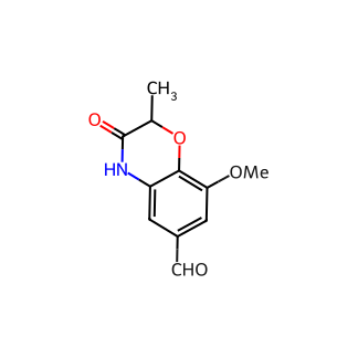 COc1cc(C=O)cc2c1OC(C)C(=O)N2